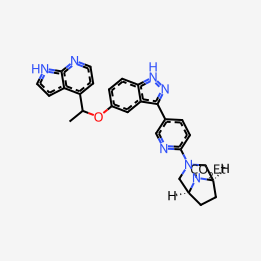 CCOC(=O)N1[C@@H]2CC[C@H]1CN(c1ccc(-c3n[nH]c4ccc(OC(C)c5ccnc6[nH]ccc56)cc34)cn1)C2